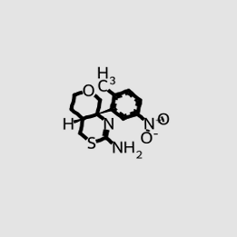 Cc1ccc([N+](=O)[O-])cc1[C@]12COCC[C@H]1CSC(N)=N2